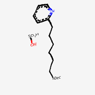 CCCCCCCCCCCCCCCCc1ccccn1.O=S(=O)(O)O